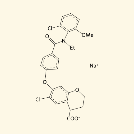 CCN(C(=O)c1ccc(Oc2cc3c(cc2Cl)C(C(=O)[O-])CCO3)cc1)c1c(Cl)cccc1OC.[Na+]